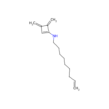 C=CCCCCCCCNC1=CC(=C)C1=C